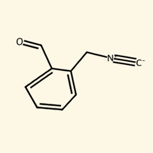 [C-]#[N+]Cc1ccccc1C=O